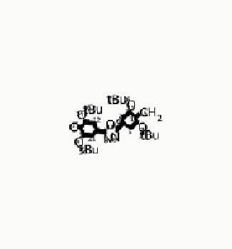 C=c1c(OC(C)(C)C)cc(=c2nnc(=C3C=C(OC(C)(C)C)C(=O)C(OC(C)(C)C)=C3)o2)cc1OC(C)(C)C